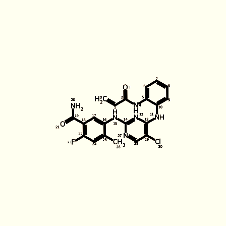 C=CC(=O)Nc1ccccc1Nc1nc(Nc2cc(C(N)=O)c(F)cc2C)ncc1Cl